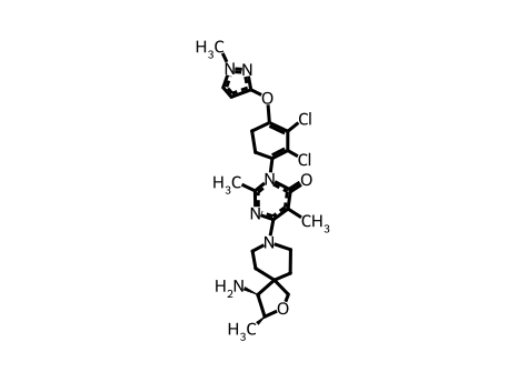 Cc1c(N2CCC3(CC2)CO[C@@H](C)[C@H]3N)nc(C)n(C2=C(Cl)C(Cl)=C(Oc3ccn(C)n3)CC2)c1=O